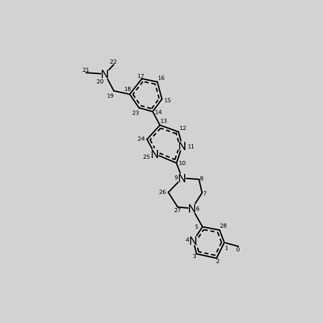 Cc1ccnc(N2CCN(c3ncc(-c4cccc(CN(C)C)c4)cn3)CC2)c1